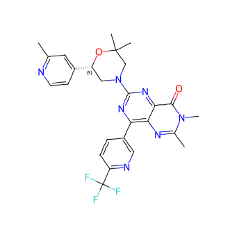 Cc1cc([C@H]2CN(c3nc(-c4ccc(C(F)(F)F)nc4)c4nc(C)n(C)c(=O)c4n3)CC(C)(C)O2)ccn1